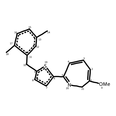 COC1=CC=CC(c2ccc(Cc3cc(C)ccc3C)s2)=NC1